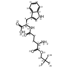 N[C@H](CCC(=O)N[C@H](Cc1c[nH]c2ccccc12)C(=O)O)C(=O)OCC(F)(F)F